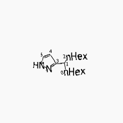 CCCCCCC(CCCCCC)c1cc[nH]n1